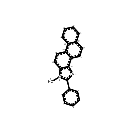 On1c(-c2ccccc2)nc2c3ccc4ccccc4c3ccc21